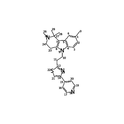 Cc1ccc2c(c1)c1c(n2CCc2nc(-c3ccncc3)cs2)CCN(C)C1(C)C